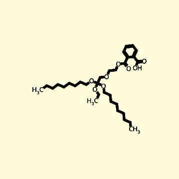 CCCCCCCCCOC(COCCOC(=O)c1ccccc1C(=O)O)(OCC)OCCCCCCCCC